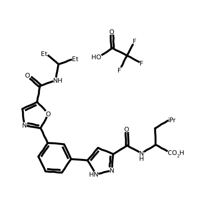 CCC(CC)NC(=O)c1cnc(-c2cccc(-c3cc(C(=O)NC(CC(C)C)C(=O)O)n[nH]3)c2)o1.O=C(O)C(F)(F)F